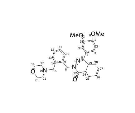 COc1ccc(C2=NN(Cc3ccccc3CN3CCOCC3)C(=O)C3CC=CCC23)cc1OC